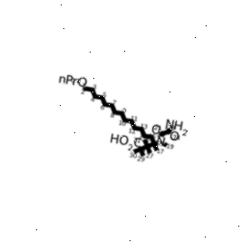 CCCOCCCCCCCCCCCCCCC(C)(N(C)C(=O)C(N)=O)C(C)(C)C(C)(C)C(=O)O